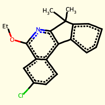 CCOc1nc2c(c3ccc(Cl)cc13)-c1ccccc1C2(C)C